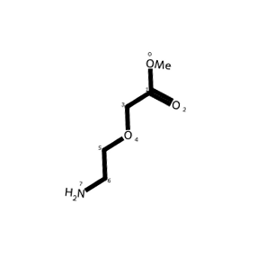 COC(=O)COCCN